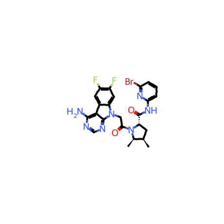 C[C@@H]1C[C@@H](C(=O)Nc2cccc(Br)n2)N(C(=O)Cn2c3cc(F)c(F)cc3c3c(N)ncnc32)[C@@H]1C